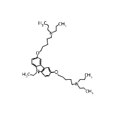 CCCN(CCC)CCCCCOc1ccc2c(c1)c1cc(OCCCCCN(CCC)CCC)ccc1n2CC